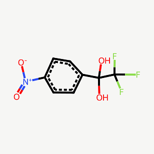 O=[N+]([O-])c1ccc(C(O)(O)C(F)(F)F)cc1